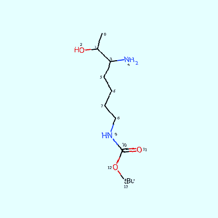 CC(O)C(N)CCCCNC(=O)OC(C)(C)C